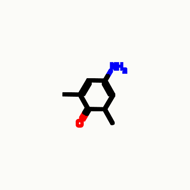 CC1=CC(N)=CC(C)C1=O